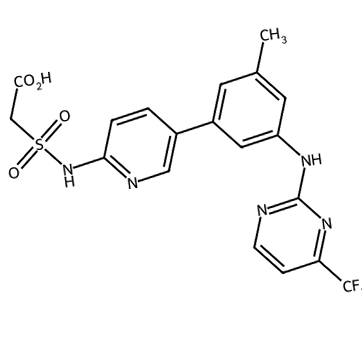 Cc1cc(Nc2nccc(C(F)(F)F)n2)cc(-c2ccc(NS(=O)(=O)CC(=O)O)nc2)c1